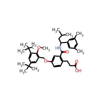 COc1c(COc2ccc(CCC(=O)O)c(C(=O)NC(CC(C)C)c3cc(C)cc(C)c3)c2)cc(C(C)(C)C)cc1C(C)(C)C